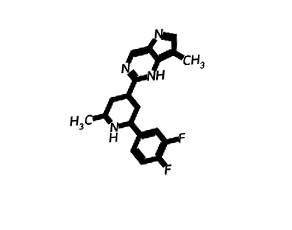 Cc1cnc2cnc(C3CC(C)NC(c4ccc(F)c(F)c4)C3)[nH]c1-2